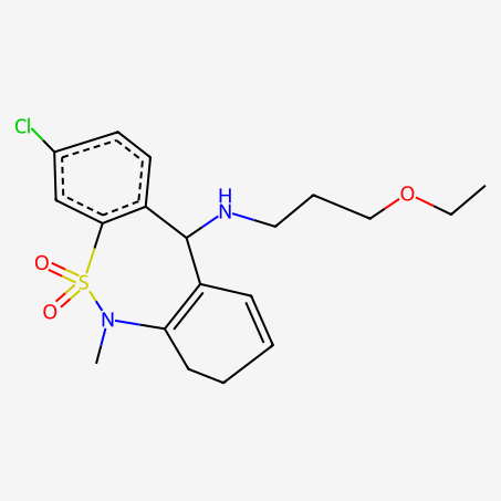 CCOCCCNC1C2=C(CCC=C2)N(C)S(=O)(=O)c2cc(Cl)ccc21